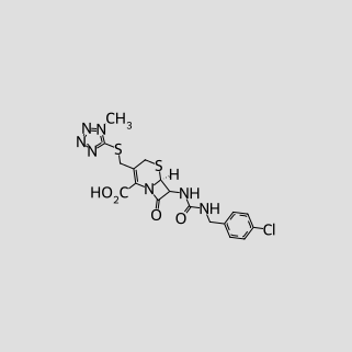 Cn1nnnc1SCC1=C(C(=O)O)N2C(=O)C(NC(=O)NCc3ccc(Cl)cc3)[C@@H]2SC1